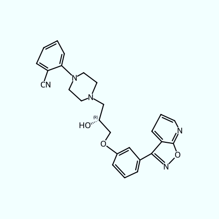 N#Cc1ccccc1N1CCN(C[C@@H](O)COc2cccc(-c3noc4ncccc34)c2)CC1